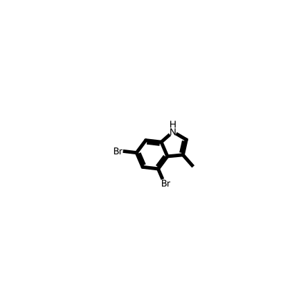 Cc1c[nH]c2cc(Br)cc(Br)c12